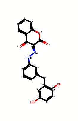 O=C1Oc2ccccc2C(=O)C1=NNc1cccc(Cc2cc(O)ccc2O)c1